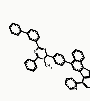 CN1C(c2ccccc2)=NC(c2cccc(-c3ccccc3)c2)=NC1c1ccc(-c2cc3c(c4ccccc24)CC2=C3C(c3ccccn3)=CCC2)cc1